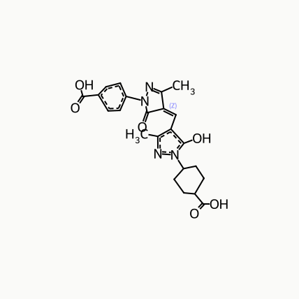 CC1=NN(c2ccc(C(=O)O)cc2)C(=O)/C1=C\c1c(C)nn(C2CCC(C(=O)O)CC2)c1O